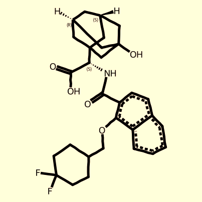 O=C(N[C@H](C(=O)O)C12C[C@@H]3C[C@@H](CC(O)(C3)C1)C2)c1ccc2ccccc2c1OCC1CCC(F)(F)CC1